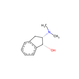 CN(C)[C@H]1Cc2ccccc2[C@H]1O